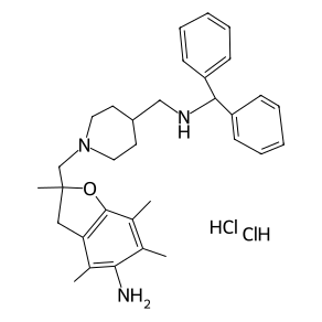 Cc1c(C)c2c(c(C)c1N)CC(C)(CN1CCC(CNC(c3ccccc3)c3ccccc3)CC1)O2.Cl.Cl